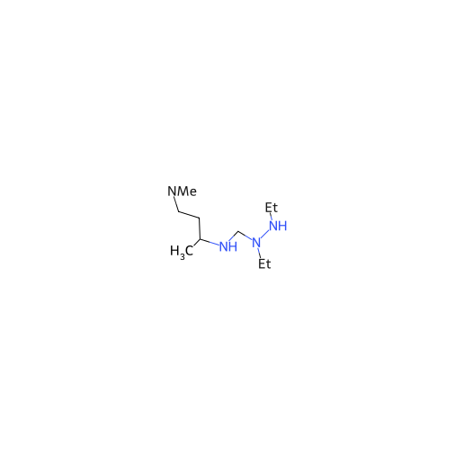 CCNN(CC)CNC(C)CCNC